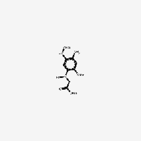 CCN(CC(=O)OC)c1cc(NC=O)c(N)cc1OC